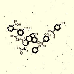 Brc1cc[c]cc1.CCN(CC)C(=O)[C@@H]1C=C2c3cccc4[nH]cc(c34)C[C@H]2N(C)C1.COc1ccc(B(O)O)cc1.O=C(O)c1ccc(B(O)O)cc1.O=[N+]([O-])c1ccc(B(O)O)cc1.O=[N+]([O-])c1ccccc1B(O)O